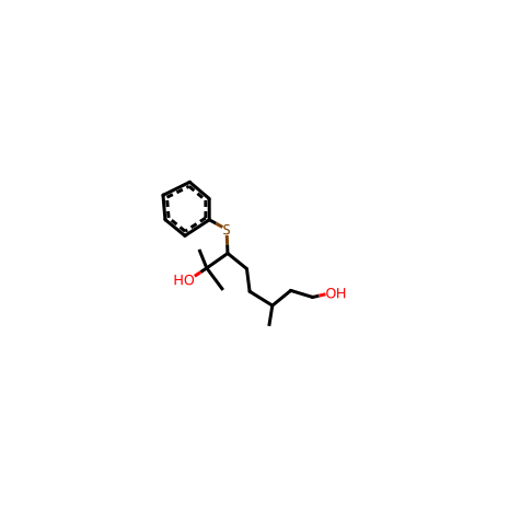 CC(CCO)CCC(Sc1ccccc1)C(C)(C)O